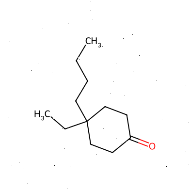 CCCCC1(CC)CCC(=O)CC1